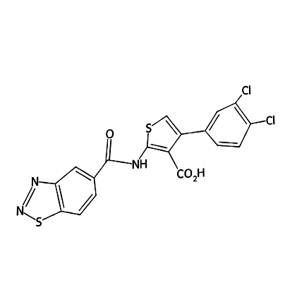 O=C(Nc1scc(-c2ccc(Cl)c(Cl)c2)c1C(=O)O)c1ccc2snnc2c1